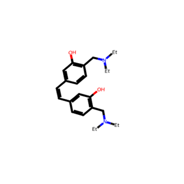 CCN(CC)Cc1ccc(/C=C\c2ccc(CN(CC)CC)c(O)c2)cc1O